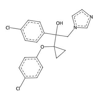 OC(Cn1ccnc1)(c1ccc(Cl)cc1)C1(Oc2ccc(Cl)cc2)CC1